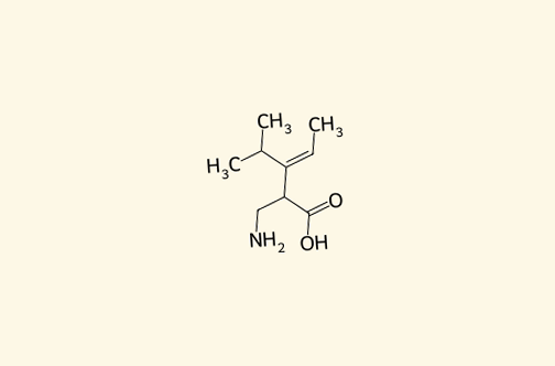 C/C=C(\C(C)C)C(CN)C(=O)O